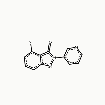 O=c1c2c(F)cccc2[se]n1-c1cccnc1